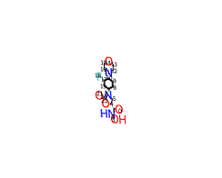 O=C(NO)[C@H]1CN(c2ccc(N3CCOCC3)c(F)c2)C(=O)O1